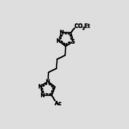 CCOC(=O)c1nnc(CCCCn2cc(C(C)=O)nn2)s1